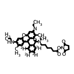 [2H]c1c([2H])c([2H])c(-c2c3cc(C)/c(=N/CC)cc-3oc3cc(NCC)c(C)cc23)c(C(=O)N(C)CCCCCC(=O)ON2C(=O)CCC2=O)c1[2H]